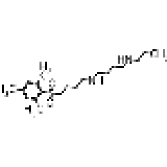 CCCNCCCCNCCCCS(=O)(=O)c1c(C)cc(C)cc1C